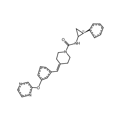 O=C(NC1C[C@H]1c1ccccc1)N1CCC(=Cc2cccc(Oc3cnccn3)c2)CC1